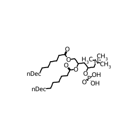 CCCCCCCCCCCCCCCC(=O)OCC(CC(C[N+](C)(C)C)OP(=O)(O)O)OC(=O)CCCCCCCCCCCCCCC